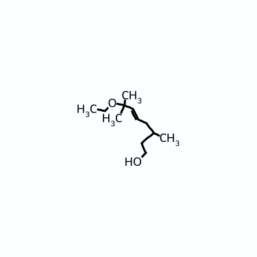 CCOC(C)(C)/C=C/CC(C)CCO